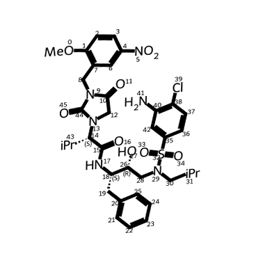 COc1ccc([N+](=O)[O-])cc1CN1C(=O)CN([C@H](C(=O)N[C@@H](Cc2ccccc2)[C@H](O)CN(CC(C)C)S(=O)(=O)c2ccc(Cl)c(N)c2)C(C)C)C1=O